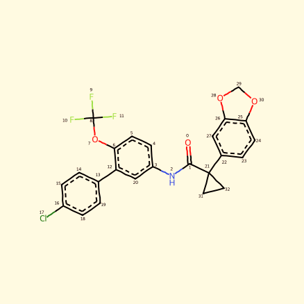 O=C(Nc1ccc(OC(F)(F)F)c(-c2ccc(Cl)cc2)c1)C1(c2ccc3c(c2)OCO3)CC1